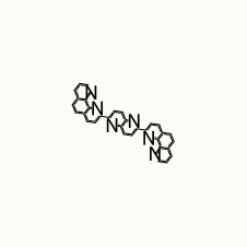 c1cnc2c(c1)ccc1ccc(-c3ccc4nc(-c5ccc6ccc7cccnc7c6n5)ccc4n3)nc12